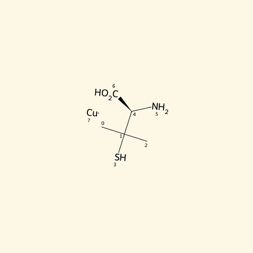 CC(C)(S)[C@H](N)C(=O)O.[Cu]